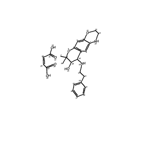 CC1(C)Oc2cc3c(cc2C(NCCc2ccccc2)C1O)NCCO3.O=C(O)/C=C\C(=O)O